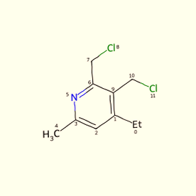 CCc1cc(C)nc(CCl)c1CCl